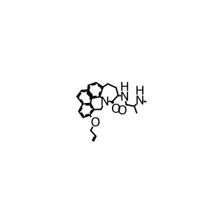 C=CCOc1ccc2ccccc2c1CN1C(=O)C(NC(=O)C(C)NC)CCc2ccccc21